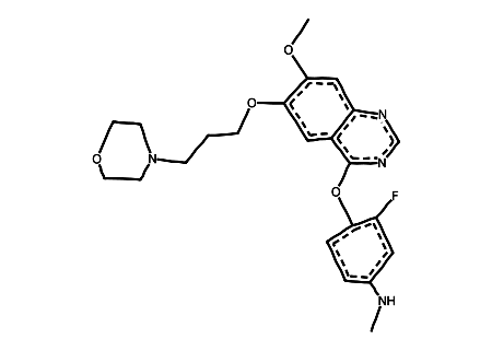 CNc1ccc(Oc2ncnc3cc(OC)c(OCCCN4CCOCC4)cc23)c(F)c1